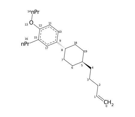 C=CCCC[C@H]1CC[C@H](c2ccc(OCCC)c(CCC)c2)CC1